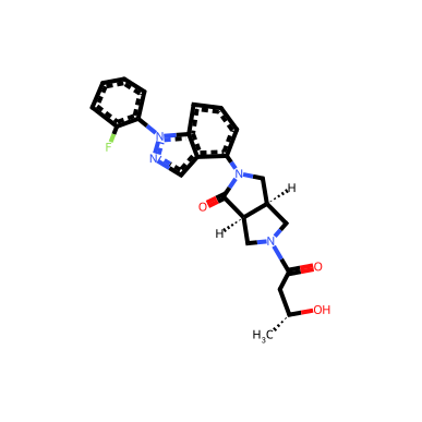 C[C@@H](O)CC(=O)N1C[C@@H]2CN(c3cccc4c3cnn4-c3ccccc3F)C(=O)[C@@H]2C1